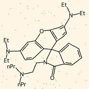 CCCN(CCC)CCN1C(=O)c2ccccc2C12c1ccc(N(CC)CC)cc1Oc1cc(N(CC)CC)ccc12